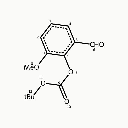 COc1cccc(C=O)c1OC(=O)OC(C)(C)C